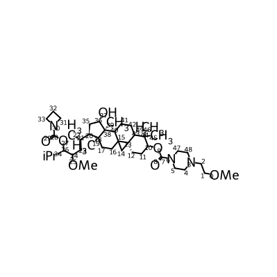 COCCN1CCN(C(=O)O[C@H]2CC[C@]34CC35CC[C@]3(C)[C@@H]([C@H](C)CC(OC)[C@H](OC(=O)N6CCC6)C(C)C)C[C@H](O)[C@@]3(C)C5CC[C@H]4C2(C)C)CC1